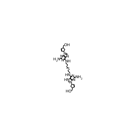 Nc1nc(NCCSSCCNc2nc(N)nc3c2ncn3C2C=CC(CO)C2)c2c(n1)N(C1C=CC(CO)C1)CN2